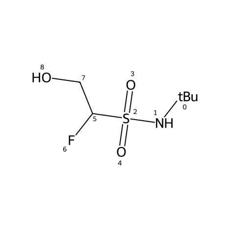 CC(C)(C)NS(=O)(=O)C(F)CO